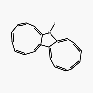 In1c2ccccccccc2c2ccccccccc21